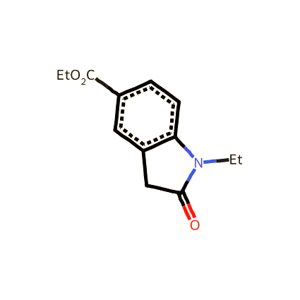 CCOC(=O)c1ccc2c(c1)CC(=O)N2CC